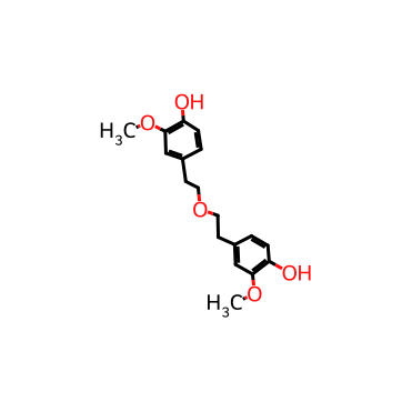 COc1cc(CCOCCc2ccc(O)c(OC)c2)ccc1O